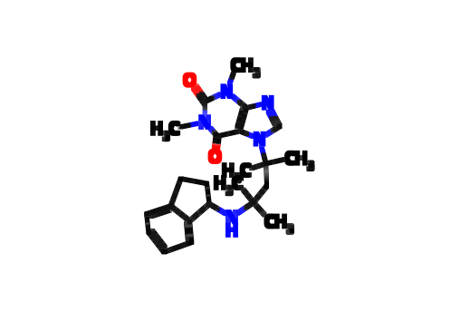 Cn1c(=O)c2c(ncn2C(C)(C)CC(C)(C)NC2CCc3ccccc32)n(C)c1=O